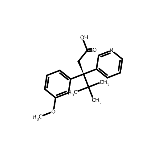 COc1cccc([C@](CC(=O)O)(c2cccnc2)C(C)(C)C)c1